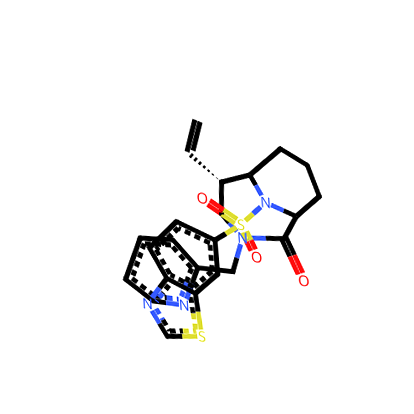 C=C[C@H]1CN(Cc2ccccn2)C(=O)C2CCCC1N2S(=O)(=O)c1ccc2ncsc2c1